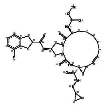 CC(C)(C)OC(=O)N[C@H]1CCCCC/C=C\C2C[C@@]2(C(=O)NSC2CC2)NC(=O)C2C[C@@H](OC(=O)C3Cc4cccc(F)c4C3)CN2C1=O